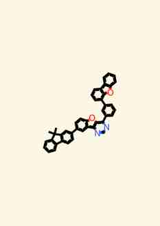 CC1(C)c2ccccc2-c2ccc(-c3ccc4oc5c(-c6cccc(-c7cccc8c7oc7ccccc78)c6)ncnc5c4c3)cc21